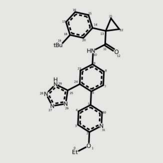 CCOc1ccc(-c2ccc(NC(=O)C3(c4cccc(C(C)(C)C)c4)CC3)cc2-c2nnn[nH]2)cn1